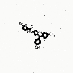 N#Cc1ccc(C(c2ccc(C(F)(F)F)cc2)C2CC(NC(=O)c3ccc(Br)s3)CN2)cc1